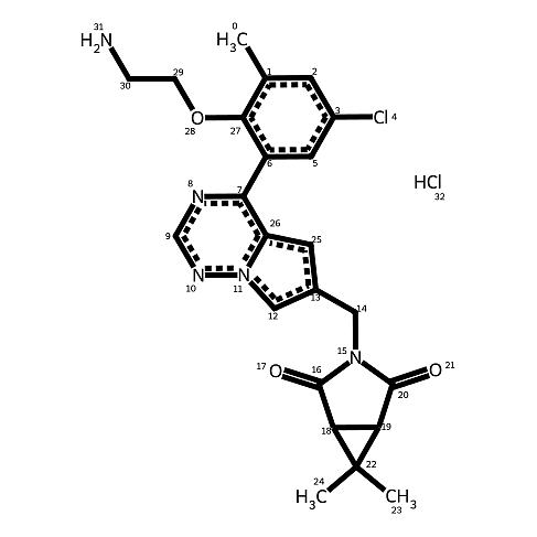 Cc1cc(Cl)cc(-c2ncnn3cc(CN4C(=O)C5C(C4=O)C5(C)C)cc23)c1OCCN.Cl